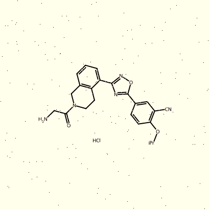 CC(C)Oc1ccc(-c2nc(-c3cccc4c3CCN(C(=O)CN)C4)no2)cc1C#N.Cl